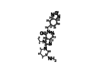 CCn1c(N2CCC[C@@H](N)C2)nc2cnn(Cc3ccc4nonc4c3)c(=O)c21